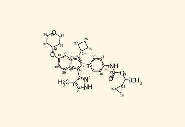 Cc1c[nH]nc1-c1c(-c2ccc(NC(=O)OC(C)C3CC3)cc2)n(C2CCC2)c2cc(OC3CCOCC3)ccc12